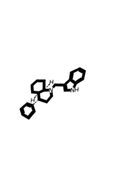 c1ccc([C@H]2CCN(Cc3c[nH]c4ccccc34)[C@@H]3CCCC[C@H]23)cc1